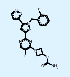 NC(=O)OC1CN(c2nc(-c3cc(-c4ccon4)n(Cc4ccccc4F)n3)ncc2F)C1